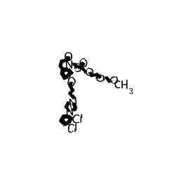 COCCOCCOCC(=O)OCN1C(=O)CCc2ccc(OCCCCN3CCN(c4cccc(Cl)c4Cl)CC3)cc21